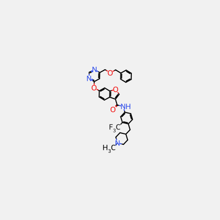 CN1CCC(Cc2ccc(NC(=O)c3coc4cc(Oc5cc(COCc6ccccc6)ncn5)ccc34)cc2C(F)(F)F)CC1